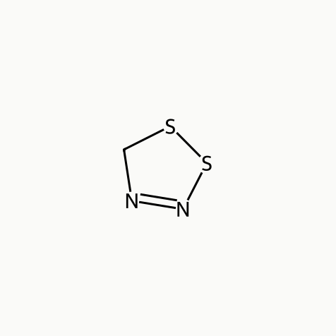 C1N=NSS1